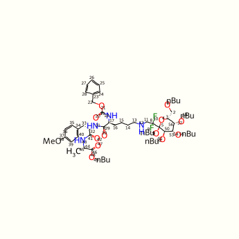 CCCCOC[C@H]1O[C@@](OCCCC)(C(F)(F)CNCCCC[C@H](NC(=O)OCc2ccccc2)C(=O)N[C@@H](Cc2ccc(OC)cc2)C(=O)N[C@@H](C)C(=O)OCCCC)[C@H](OCCCC)[C@@H](OCCCC)[C@H]1OCCCC